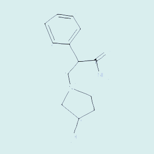 NC(=O)C(CN1CCC(O)C1)c1ccccc1